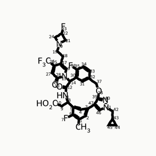 Cc1cc2cc(c1F)C(CC(=O)O)NC(=O)C(n1cc(CCN3CC(F)C3)c(C(F)(F)F)cc1=O)c1cc(ccc1F)COc1nn(CC3CC3)cc1-2